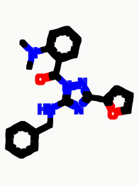 CN(C)c1ccccc1C(=O)n1nc(-c2ccco2)nc1NCc1ccccc1